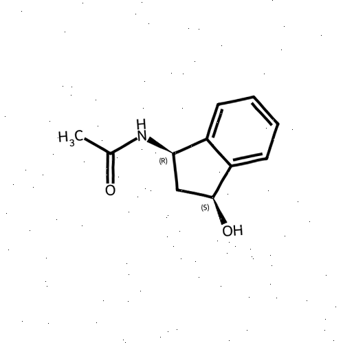 CC(=O)N[C@@H]1C[C@H](O)c2ccccc21